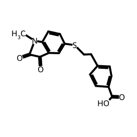 CN1C(=O)C(=O)c2cc(SCCc3ccc(C(=O)O)cc3)ccc21